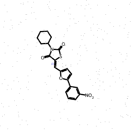 O=C1S/C(=C\c2ccc(-c3cccc([N+](=O)[O-])c3)o2)C(=O)N1C1CCCCC1